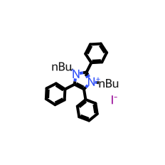 CCCCn1c(-c2ccccc2)c(-c2ccccc2)[n+](CCCC)c1-c1ccccc1.[I-]